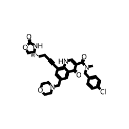 CN(Cc1ccc(Cl)cc1)C(=O)c1c[nH]c2c(C#CCC[C@@H]3COC(=O)N3)cc(CN3CCOCC3)cc2c1=O